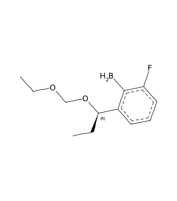 Bc1c(F)cccc1[C@@H](CC)OCOCC